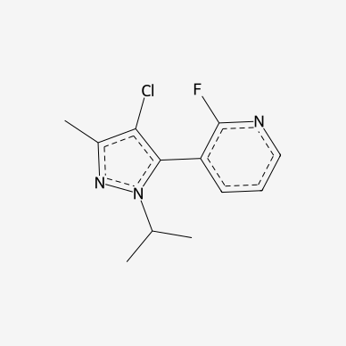 Cc1nn(C(C)C)c(-c2cccnc2F)c1Cl